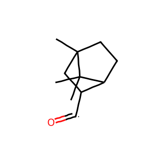 CC12CCC(C([C]=O)C1)C2(C)C